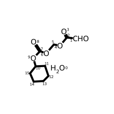 O.O=CC(=O)OCOC(=O)OC1CCCCC1